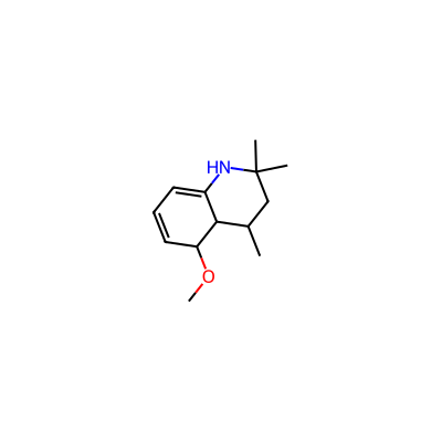 COC1C=CC=C2NC(C)(C)CC(C)C21